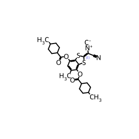 [C-]#[N+]/C(C#N)=C1\Sc2c(OC(=O)C3CCC(C)CC3)cc(C)c(OC(=O)C3CCC(C)CC3)c2S1